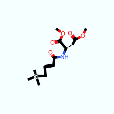 COC(=O)C[C@H](NC(=O)/C=C/C[Si](C)(C)C)C(=O)OC